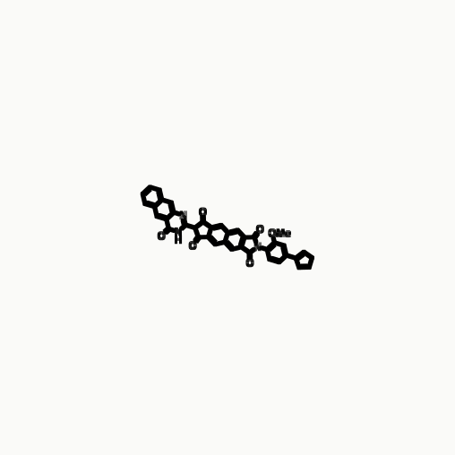 COc1cc(C2=CCC=C2)ccc1N1C(=O)c2cc3cc4c(cc3cc2C1=O)C(=O)C(c1nc2cc3ccccc3cc2c(=O)[nH]1)C4=O